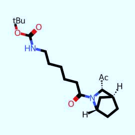 CC(=O)[C@@H]1[C@H]2CC[C@@H](C2)N1C(=O)CCCCCNC(=O)OC(C)(C)C